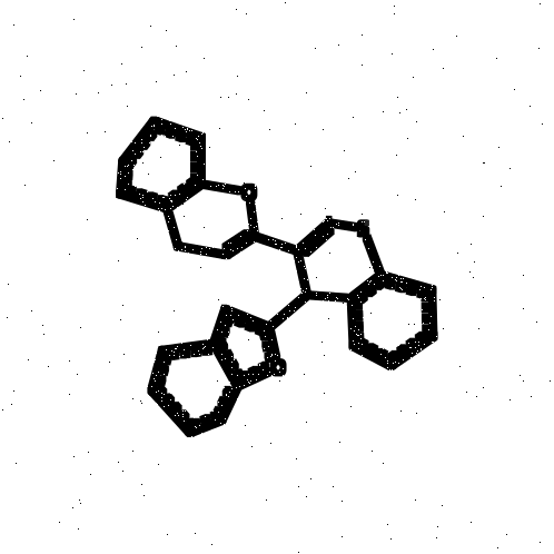 [C]1=C(C2=CCc3ccccc3O2)C(c2cc3ccccc3o2)c2ccccc2S1